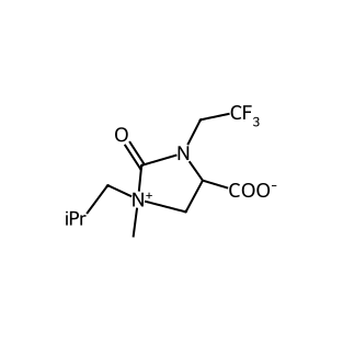 CC(C)C[N+]1(C)CC(C(=O)[O-])N(CC(F)(F)F)C1=O